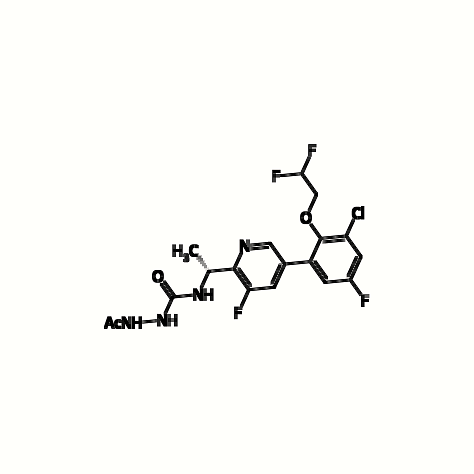 CC(=O)NNC(=O)N[C@H](C)c1ncc(-c2cc(F)cc(Cl)c2OCC(F)F)cc1F